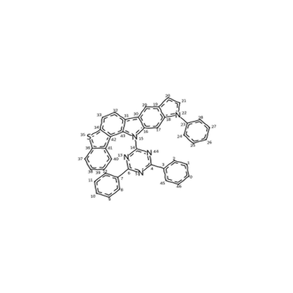 c1ccc(-c2nc(-c3ccccc3)nc(-n3c4cc5c(ccn5-c5ccccc5)cc4c4ccc5sc6ccccc6c5c43)n2)cc1